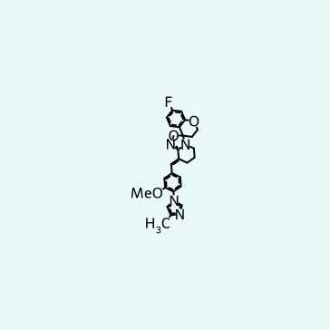 COc1cc(C=C2CCCN3C2=NOC32CCOc3cc(F)ccc32)ccc1-n1cnc(C)c1